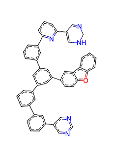 C1=NCNC=C1c1cccc(-c2cccc(-c3cc(-c4cccc(-c5cccc(-c6cncnc6)c5)c4)cc(-c4ccc5oc6ccccc6c5c4)c3)c2)n1